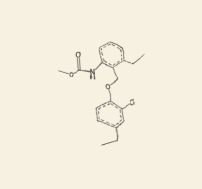 CCc1ccc(OCc2c(CC)cccc2NC(=O)OC)c(Cl)c1